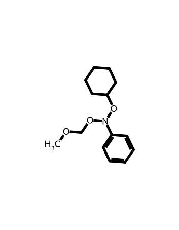 COCON(OC1CCCCC1)c1ccccc1